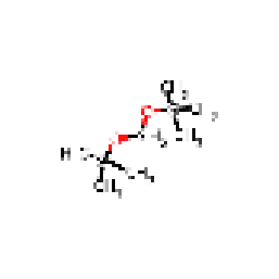 C[Si](C)(C)O[SiH2]O[Si](C)(C)C